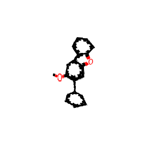 COc1cc2c(cc1-c1ccccc1)oc1ccccc12